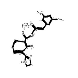 Cc1cc(C)cc(/C=C(/NC(=O)c2cccc(C3=NCCN3)c2N)C(=O)O)c1